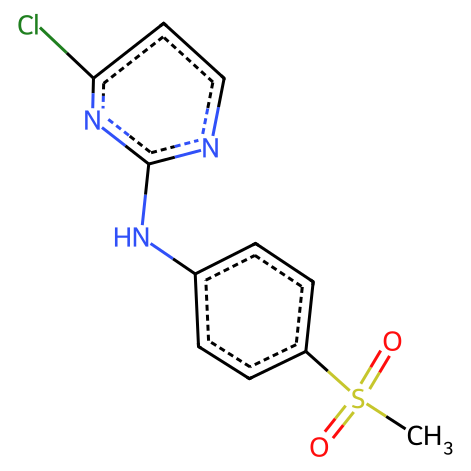 CS(=O)(=O)c1ccc(Nc2nccc(Cl)n2)cc1